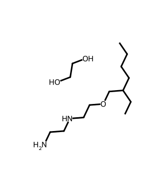 CCCCC(CC)COCCNCCN.OCCO